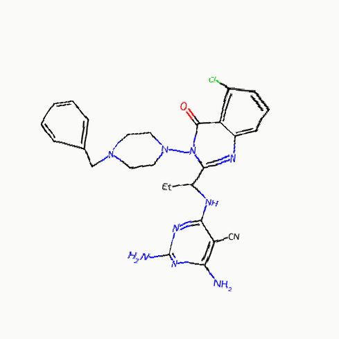 CCC(Nc1nc(N)nc(N)c1C#N)c1nc2cccc(Cl)c2c(=O)n1N1CCN(Cc2ccccc2)CC1